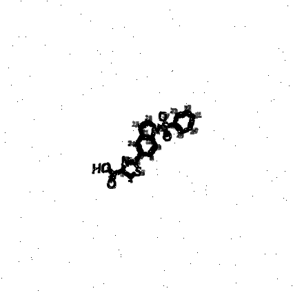 O=C(O)C1CSC(c2ccc3c(ccn3S(=O)(=O)c3ccccc3)c2)=N1